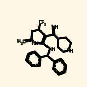 C=C1CC(C(F)(F)F)C(C(=N)C2CCNCC2)=C(NC(c2ccccc2)c2ccccc2)N1